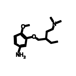 CCC(CCN(C)C)COc1cc(N)ccc1OC